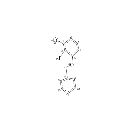 Cc1cccc(OCc2ccccc2)c1I